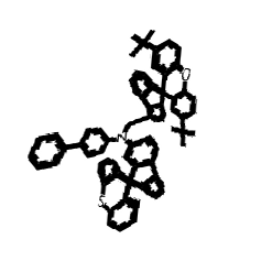 CC(C)(C)c1ccc2c(c1)C1(c3cc(C(C)(C)C)ccc3O2)c2ccccc2-c2c(CN(c3ccc(-c4ccccc4)cc3)c3ccc4c(c3)C3(c5ccccc5Sc5ccccc53)c3ccccc3-4)cccc21